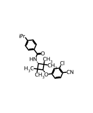 CC(C)c1ccc(C(=O)N[C@H]2C(C)(C)[C@H](Oc3ccc(C#N)c(Cl)c3)C2(C)C)cc1